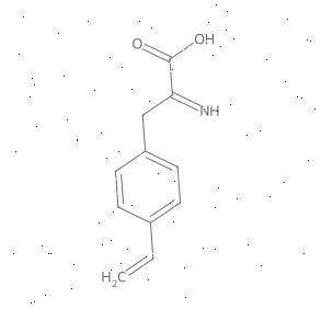 C=Cc1ccc(CC(=N)C(=O)O)cc1